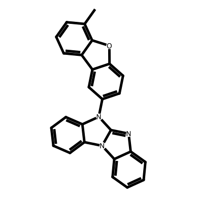 Cc1cccc2c1oc1ccc(-n3c4ccccc4n4c5ccccc5nc34)cc12